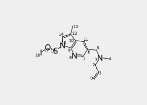 C=CCN(C)Cc1cnc2c(c1)c(C)cn2SOI